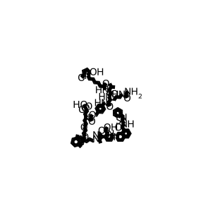 Cc1c(-c2ccc(N3CCc4cccc(C(=O)Nc5nc6ccccc6s5)c4C3)nc2C(=O)O)cnn1CCCC1(OCCOCCN(CCS(=O)(=O)O)C(=O)OCc2ccc(NC(=O)[C@H](CCCNC(N)=O)NC(=O)[C@@H](NC(=O)CCCCCN3C(=O)C=CC3O)C(C)C)cc2)CC2(C)CCCC(C)(C2)C1